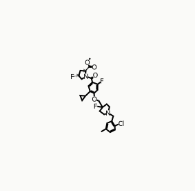 COC(=O)[C@@H]1C[C@@H](F)CN1C(=O)c1cc(C2CC2)c(OCC2(F)CCN(Cc3cc(C)ccc3Cl)CC2)cc1F